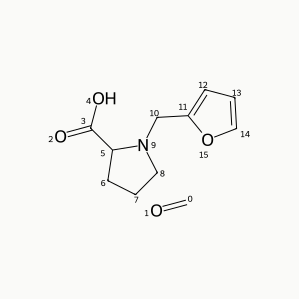 C=O.O=C(O)C1CCCN1Cc1ccco1